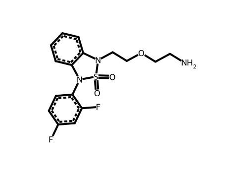 NCCOCCN1c2ccccc2N(c2ccc(F)cc2F)S1(=O)=O